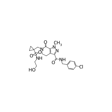 Cn1nc(C(=O)NCc2ccc(Cl)cc2)c2c1C(=O)N(CC1(S(=O)(=O)NCCO)CC1)CC2